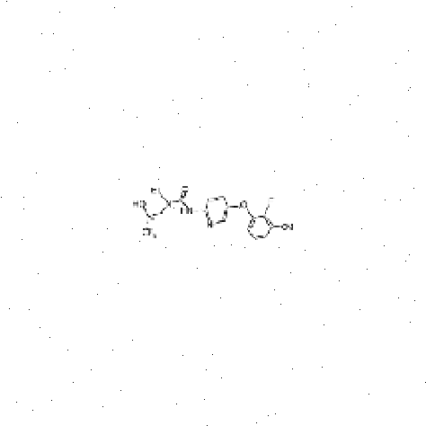 CCN(C[C@@H](O)C(F)(F)F)C(=O)Nc1ccc(Oc2cccc(C#N)c2F)cn1